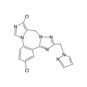 Clc1ccc2c(c1)-c1nc(Cn3cccn3)nn1Cc1c(Cl)ncn1-2